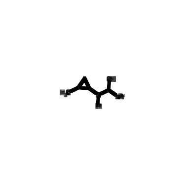 CCCC(O)N(CC)C1CC1C